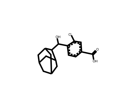 O=C(O)c1ccc(C(O)C2C3CC4CC(C3)CC2C4)c(Cl)c1